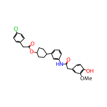 COc1cc(CC(=O)Nc2cccc(C3CCC(OC(=O)Cc4ccc(Cl)cc4)CC3)c2)ccc1O